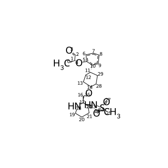 C[C@@H](C=O)Oc1ccccc1[C@H]1CC[C@@H](OC[C@@H]2NCCC[C@@H]2NS(C)(=O)=O)CC1